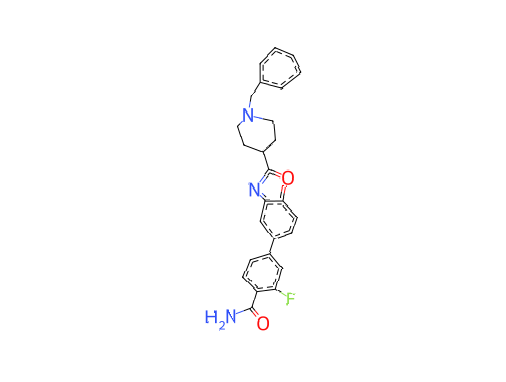 NC(=O)c1ccc(-c2ccc3oc(C4CCN(Cc5ccccc5)CC4)nc3c2)cc1F